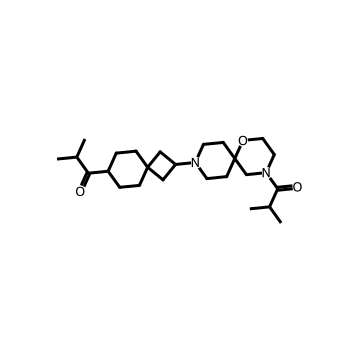 CC(C)C(=O)C1CCC2(CC1)CC(N1CCC3(CC1)CN(C(=O)C(C)C)CCO3)C2